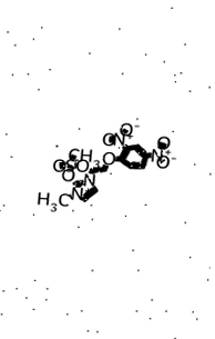 C[n+]1ccn(CCOc2ccc([N+](=O)[O-])cc2[N+](=O)[O-])c1OS(C)(=O)=O